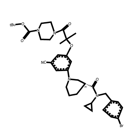 CC(C)(C)OC(=O)N1CCN(C(=O)C(C)(C)Oc2cc(C#N)cc(N3CCC[C@@H](C(=O)N(Cc4ccc(Br)cc4)C4CC4)C3)c2)CC1